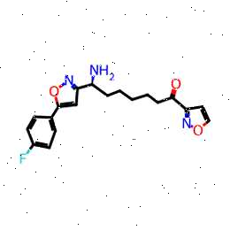 N[C@@H](CCCCCC(=O)c1ccon1)c1cc(-c2ccc(F)cc2)on1